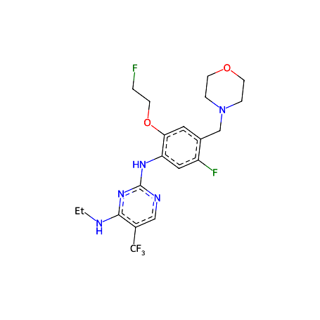 CCNc1nc(Nc2cc(F)c(CN3CCOCC3)cc2OCCF)ncc1C(F)(F)F